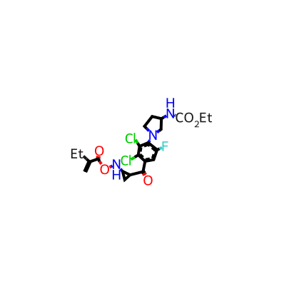 C=C(CC)C(=O)ONC1CC1C(=O)c1cc(F)c(N2CCC(NC(=O)OCC)C2)c(Cl)c1Cl